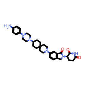 Nc1ccc(N2CCN(C3CCC4(CC3)CCN(c3ccc5c(c3)C(=O)N(C3CCC(=O)NC3=O)C5)CC4)CC2)cc1